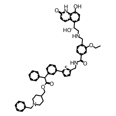 CCOc1cc(C(=O)NCc2ccc(-c3cccc(C(C(=O)OCC4CCN(Cc5ccccc5)CC4)c4ccccc4)c3)s2)ccc1CNC[C@H](O)c1ccc(O)c2[nH]c(=O)ccc12